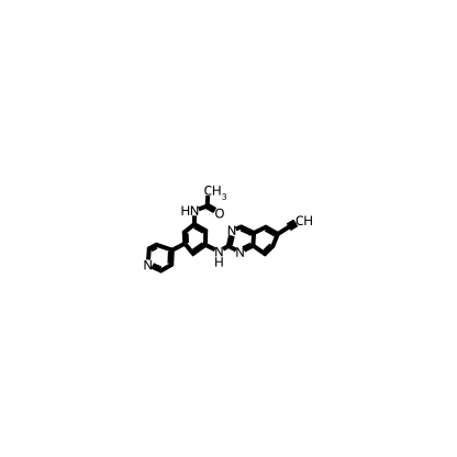 C#Cc1ccc2nc(Nc3cc(NC(C)=O)cc(-c4ccncc4)c3)ncc2c1